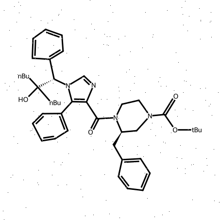 CCCCC(O)(CCCC)[C@H](c1ccccc1)n1cnc(C(=O)N2CCN(C(=O)OC(C)(C)C)C[C@H]2Cc2ccccc2)c1-c1ccccc1